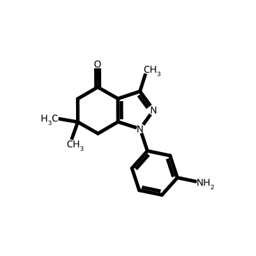 Cc1nn(-c2cccc(N)c2)c2c1C(=O)CC(C)(C)C2